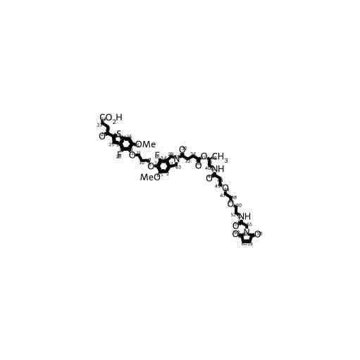 COc1cc2c(c(F)c1OCCCOc1c(OC)cc3sc(C(=O)CCC(=O)O)cc3c1F)CN(C(=O)CCC(=O)O[C@@H](C)CNC(=O)CCOCCOCCNC(=O)CN1C(=O)C=CC1=O)C2